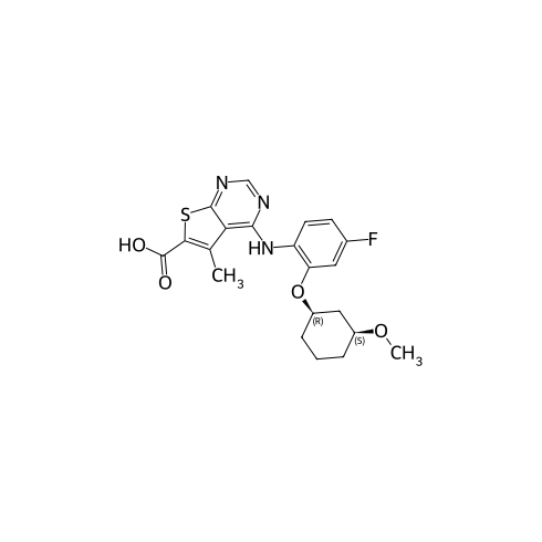 CO[C@H]1CCC[C@@H](Oc2cc(F)ccc2Nc2ncnc3sc(C(=O)O)c(C)c23)C1